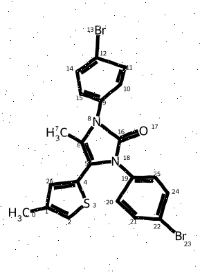 Cc1csc(-c2c(C)n(-c3ccc(Br)cc3)c(=O)n2-c2ccc(Br)cc2)c1